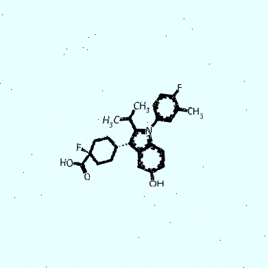 Cc1cc(-n2c(C(C)C)c([C@H]3CC[C@@](F)(C(=O)O)CC3)c3cc(O)ccc32)ccc1F